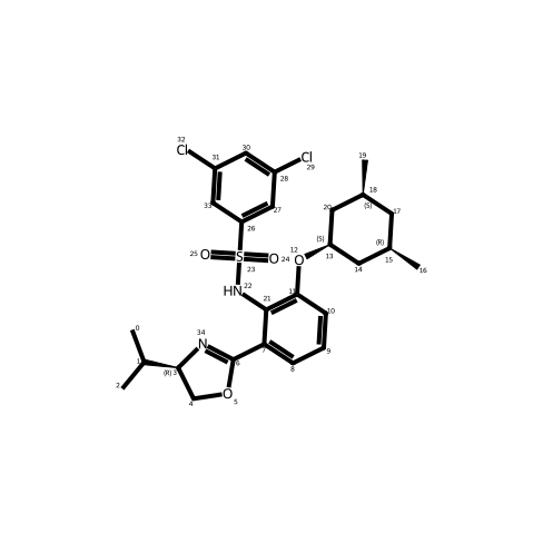 CC(C)[C@@H]1COC(c2cccc(O[C@@H]3C[C@H](C)C[C@H](C)C3)c2NS(=O)(=O)c2cc(Cl)cc(Cl)c2)=N1